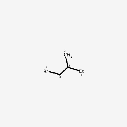 CC[C](C)CBr